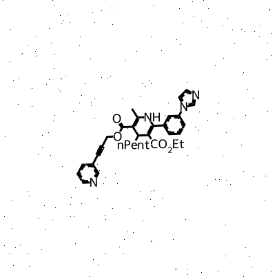 CCCCCC1C(C(=O)OCC#Cc2cccnc2)=C(C)NC(c2cccc(-n3ccnc3)c2)=C1C(=O)OCC